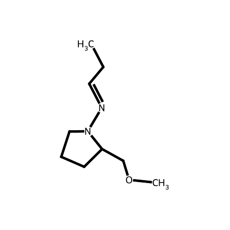 CCC=NN1CCCC1COC